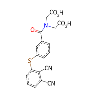 N#Cc1cccc(Sc2cccc(C(=O)N(CC(=O)O)CC(=O)O)c2)c1C#N